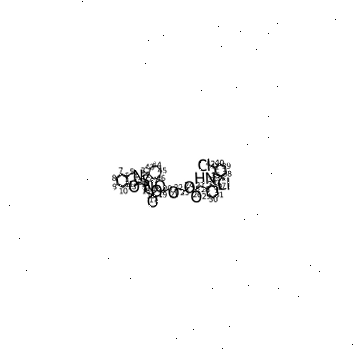 O=NSC1(CN(Cc2ccccc2)C(=O)CCC(=O)OCCOCCOC(=O)Cc2ccccc2Nc2c(Cl)cccc2Cl)CCCCC1